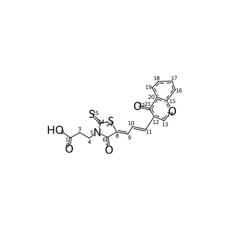 O=C(O)CCN1C(=O)C(=CC=Cc2coc3ccccc3c2=O)SC1=S